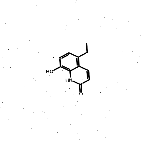 CCc1ccc(O)c2[nH]c(=O)ccc12